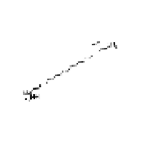 CCC(O)CCCCCCCCCCCCCCCC=CCC1=NCCN1